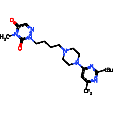 Cn1c(=O)cnn(CCCCN2CCN(c3cc(C(F)(F)F)nc(C(C)(C)C)n3)CC2)c1=O